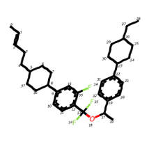 C/C=C/CCC1CCC(c2ccc(C(F)(F)OC(C)c3ccc(C4CCC(CC)CC4)cc3)c(F)c2)CC1